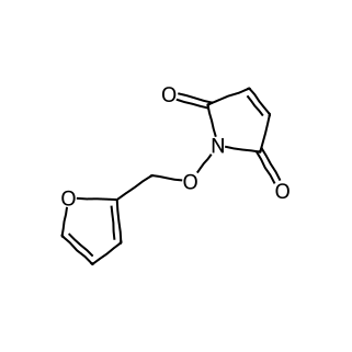 O=C1C=CC(=O)N1OCc1ccco1